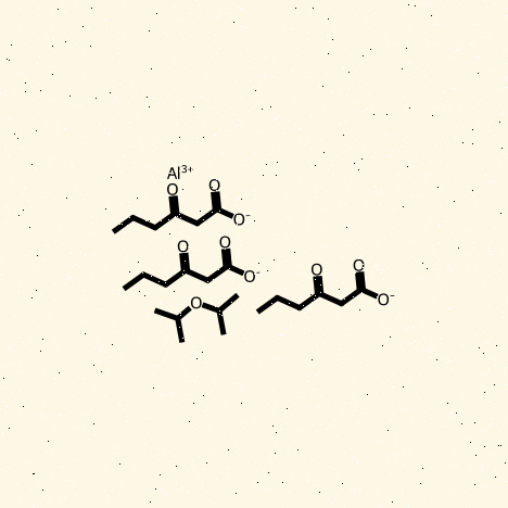 CC(C)OC(C)C.CCCC(=O)CC(=O)[O-].CCCC(=O)CC(=O)[O-].CCCC(=O)CC(=O)[O-].[Al+3]